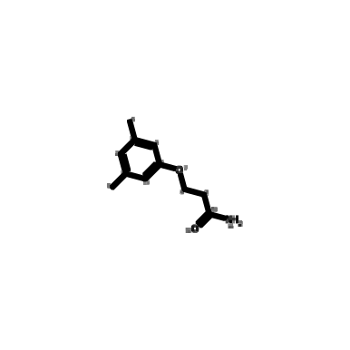 Cc1cc(C)cc(OC[CH]C(N)=O)c1